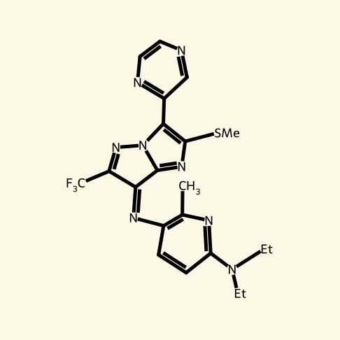 CCN(CC)c1ccc(/N=C2/C(C(F)(F)F)=Nn3c2nc(SC)c3-c2cnccn2)c(C)n1